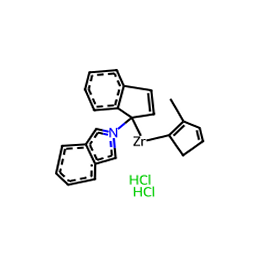 CC1=[C]([Zr][C]2(n3cc4ccccc4c3)C=Cc3ccccc32)CC=C1.Cl.Cl